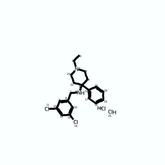 CCN1CCC(NCc2cc(Cl)cc(Cl)c2)(c2ccccc2)CC1.Cl.Cl